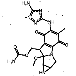 COC12C(COC(N)=O)C3=C(C(=O)C(C)=C(Nc4n[nH]c(N)n4)C3=O)N1CC1NC12